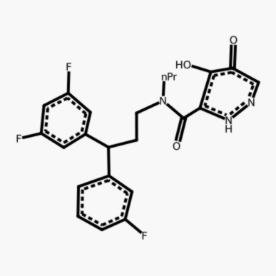 CCCN(CCC(c1cccc(F)c1)c1cc(F)cc(F)c1)C(=O)c1[nH]ncc(=O)c1O